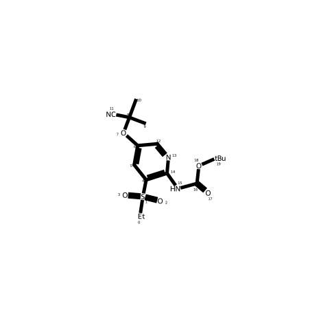 CCS(=O)(=O)c1cc(OC(C)(C)C#N)cnc1NC(=O)OC(C)(C)C